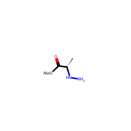 COC(=O)[C@H](C)NN